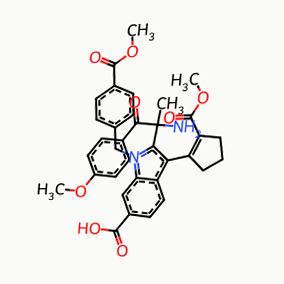 COC(=O)C1=C(c2c(C(C)(N)C(=O)c3ccc(OC)cc3)n(Cc3ccc(C(=O)OC)cc3)c3cc(C(=O)O)ccc23)CCC1